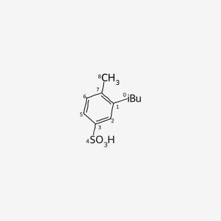 CCC(C)c1cc(S(=O)(=O)O)ccc1C